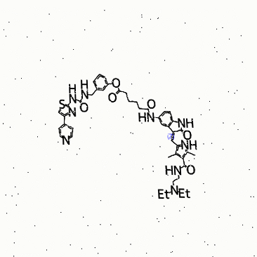 CCN(CC)CCNC(=O)c1c(C)[nH]c(/C=C2\C(=O)Nc3ccc(NC(=O)CCCCC(=O)Oc4cccc(CNC(=O)Nc5nc(-c6ccncc6)cs5)c4)cc32)c1C